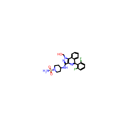 NS(=O)(=O)N1CCC(Nc2nn(CO)c3c2nc(-c2c(F)cccc2F)c2ccccc23)CC1